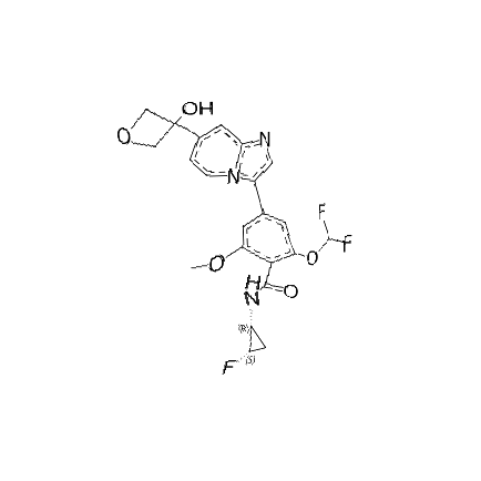 COc1cc(-c2cnc3cc(C4(O)COC4)ccn23)cc(OC(F)F)c1C(=O)N[C@@H]1C[C@@H]1F